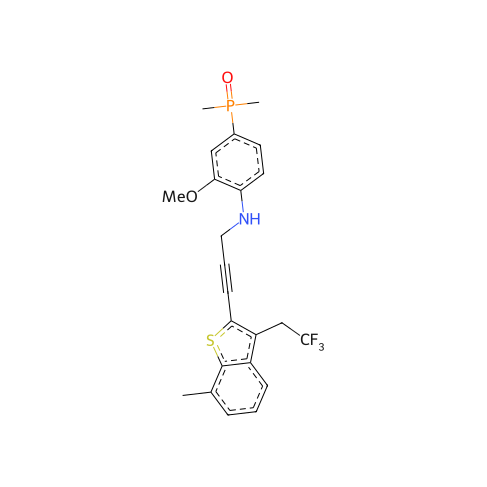 COc1cc(P(C)(C)=O)ccc1NCC#Cc1sc2c(C)cccc2c1CC(F)(F)F